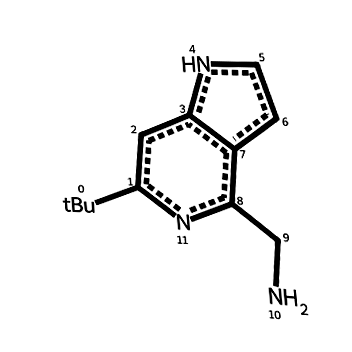 CC(C)(C)c1cc2[nH]ccc2c(CN)n1